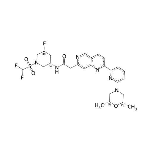 C[C@@H]1CN(c2cccc(-c3ccc4cnc(CC(=O)N[C@H]5C[C@@H](F)CN(S(=O)(=O)C(F)F)C5)cc4n3)n2)C[C@H](C)O1